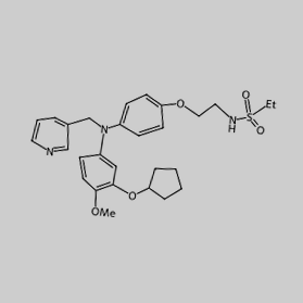 CCS(=O)(=O)NCCOc1ccc(N(Cc2cccnc2)c2ccc(OC)c(OC3CCCC3)c2)cc1